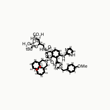 COc1ccc(Cn2nnc(-c3c(Nc4ncc[nH]4)ccc(S(=O)(=O)NCC(CNC(=O)O)O[Si](C)(C)C(C)(C)C)c3S(=O)(=O)N(Cc3ccccc3)Cc3ccccc3)n2)cc1